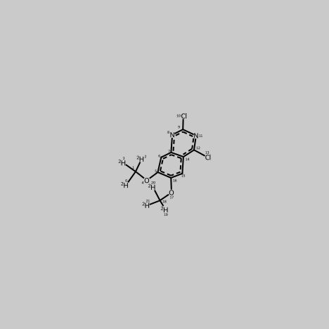 [2H]C([2H])([2H])Oc1cc2nc(Cl)nc(Cl)c2cc1OC([2H])([2H])[2H]